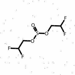 O=S(OCC(F)F)OCC(F)F